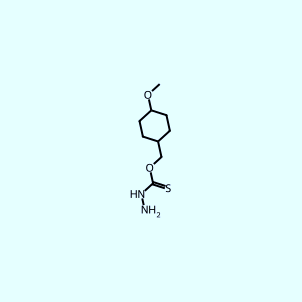 COC1CCC(COC(=S)NN)CC1